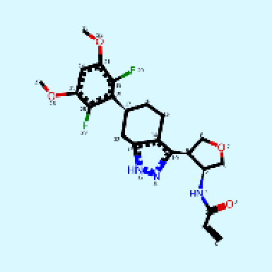 C=CC(=O)N[C@@H]1COC[C@@H]1c1n[nH]c2c1CC[C@H](c1c(F)c(OC)cc(OC)c1F)C2